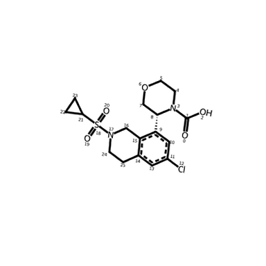 O=C(O)N1CCOC[C@H]1c1cc(Cl)cc2c1CN(S(=O)(=O)C1CC1)CC2